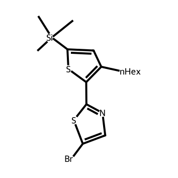 CCCCCCc1cc([Si](C)(C)C)sc1-c1ncc(Br)s1